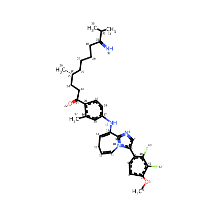 COc1ccc(-c2cnc3n2C=CCC=C3Nc2ccc(C(=O)CC[C@H](C)CCCCC(=N)C(C)C)c(C)c2)c(F)c1F